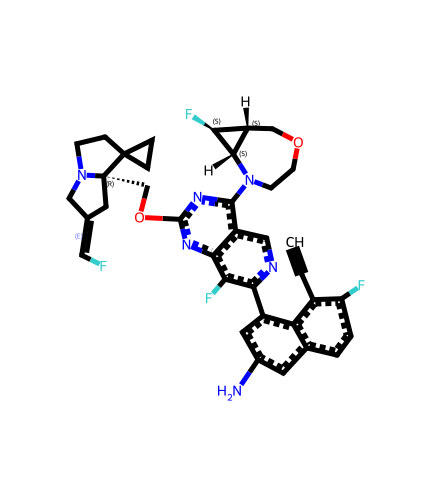 C#Cc1c(F)ccc2cc(N)cc(-c3ncc4c(N5CCOC[C@H]6[C@H](F)[C@H]65)nc(OC[C@]56C/C(=C\F)CN5CCC65CC5)nc4c3F)c12